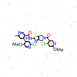 COc1cc(Cl)c(C(=O)N2Cc3nc(NC(=O)c4cnc(C)cc4-c4cc(Cl)ncc4OC)sc3C2)cn1